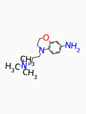 C[N+](C)(C)CCCN1CCOc2cc(N)ccc21